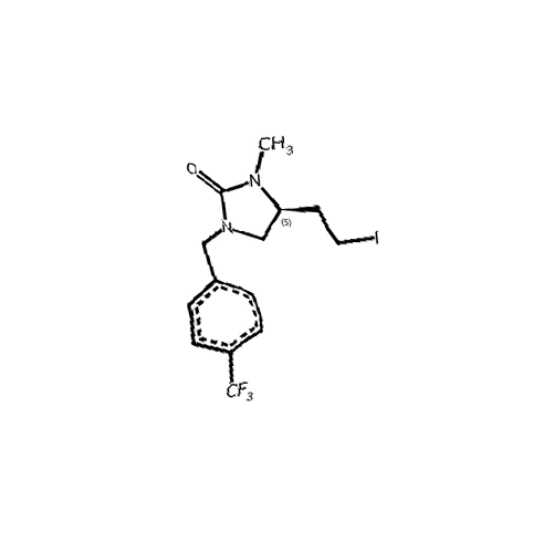 CN1C(=O)N(Cc2ccc(C(F)(F)F)cc2)C[C@@H]1CCI